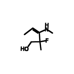 C/C=C(/NC)C(C)(F)CO